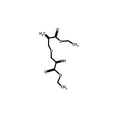 C=C(COCC(=N)C(=O)OCC)C(=O)OCC